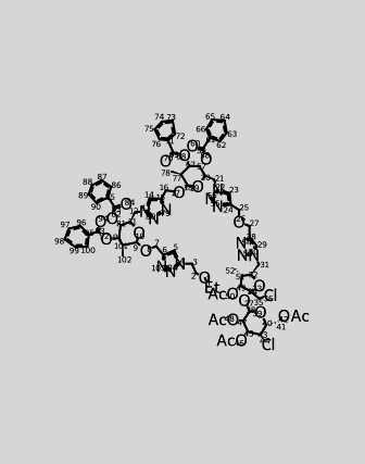 CCOCCn1cc(COC2O[C@H](Cn3cc(COC4O[C@H](Cn5cc(COCc6cn(C[C@H]7OC(CCl)(OC8O[C@H](COC(C)=O)[C@H](Cl)[C@H](OC(C)=O)C8OC(C)=O)[C@@H](OC(C)=O)[C@@H]7C)nn6)nn5)[C@@H](OC(=O)c5ccccc5)[C@H](OC(=O)c5ccccc5)[C@@H]4C)nn3)[C@@H](OC(=O)c3ccccc3)[C@H](OC(=O)c3ccccc3)[C@@H]2C)nn1